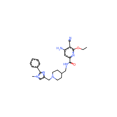 CCOc1nc(C(=O)NCC2CCN(Cc3cn(C)c(-c4ccccc4)n3)CC2)cc(N)c1C#N